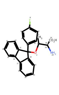 CC(OC1(c2ccc(F)cc2)c2ccccc2-c2ccccc21)[C@H](N)C(=O)O